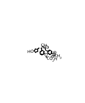 CN(C(=O)Cc1ccc(S(C)(=O)=O)cc1)[C@@H](CC1CC[C@H](O)C1)c1cccc(OCC(=O)O)c1